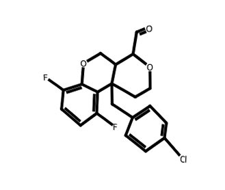 O=CC1OCCC2(Cc3ccc(Cl)cc3)c3c(F)ccc(F)c3OCC12